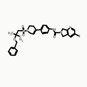 CC(C)(CS(=O)(=O)N1CC=C(c2ccc(NC(=O)N3Cc4cc(F)cnc4C3)cc2)CC1)OCc1ccccc1